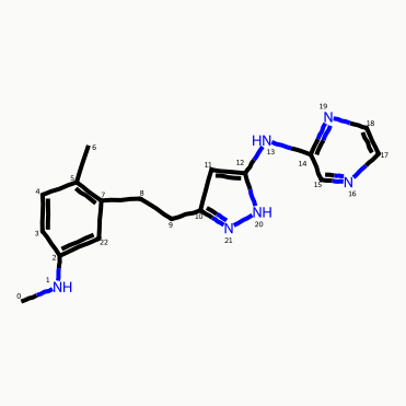 CNc1ccc(C)c(CCc2cc(Nc3cnccn3)[nH]n2)c1